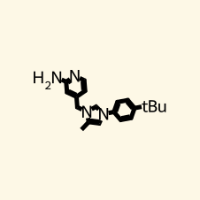 CC1=CN(c2ccc(C(C)(C)C)cc2)CN1Cc1ccnc(N)c1